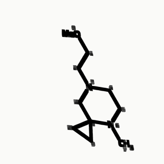 COCCN1CCN(C)C2(CC2)C1